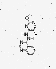 COc1ncc(F)c(NNc2ncnc3ccccc23)n1